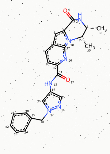 C[C@H]1NC(=O)c2cc3ccc(C(=O)Nc4cnn(Cc5ccccc5)c4)nc3n2[C@H]1C